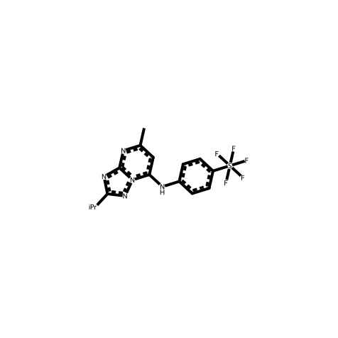 Cc1cc(Nc2ccc(S(F)(F)(F)(F)F)cc2)n2nc(C(C)C)nc2n1